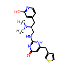 CN(C)[C@H](CNc1nc(=O)cc(Cc2ccsc2)[nH]1)Cc1ccnc(O)c1